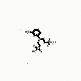 Nc1cccc(N(CCS(=O)(=O)O)CCS(=O)(=O)O)c1